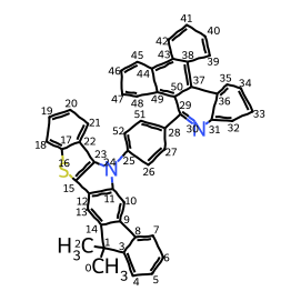 CC1(C)c2ccccc2-c2cc3c(cc21)c1sc2ccccc2c1n3-c1ccc(-c2nc3ccccc3c3c4ccccc4c4ccccc4c23)cc1